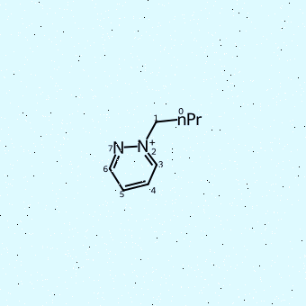 CCCC[n+]1ccccn1